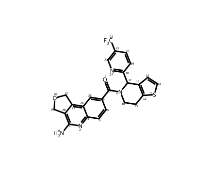 Nc1nc2ccc(C(=O)N3CCc4sccc4C3c3ccc(C(F)(F)F)cn3)cc2c2c1COC2